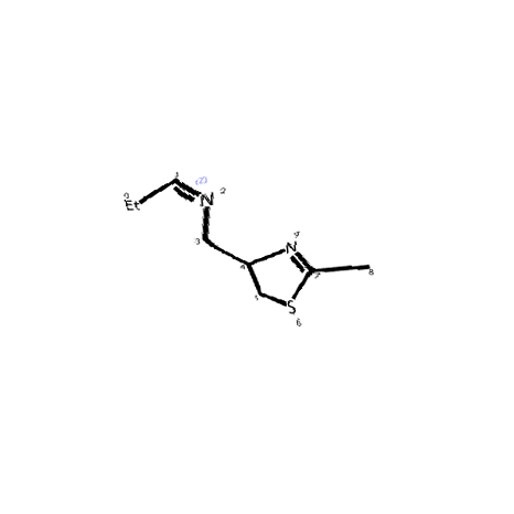 CC/C=N\CC1CSC(C)=N1